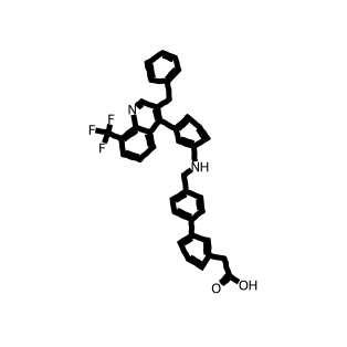 O=C(O)Cc1cccc(-c2ccc(CNc3cccc(-c4c(Cc5ccccc5)cnc5c(C(F)(F)F)cccc45)c3)cc2)c1